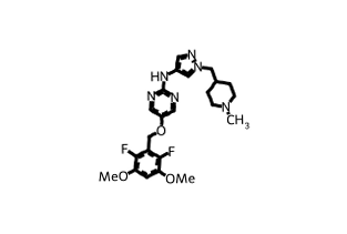 COc1cc(OC)c(F)c(COc2cnc(Nc3cnn(CC4CCN(C)CC4)c3)nc2)c1F